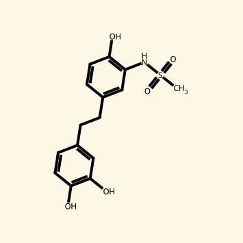 CS(=O)(=O)Nc1cc(CCc2ccc(O)c(O)c2)ccc1O